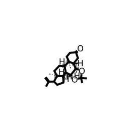 C=C(C)C1CC[C@H]2[C@@H]3[C@H]4OC(C)(C)O[C@@H]4[C@H]4CC(=O)CC[C@]4(C)[C@H]3CC[C@]12C